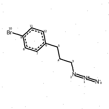 [N-]=[N+]=NCCCc1ccc(Br)cc1